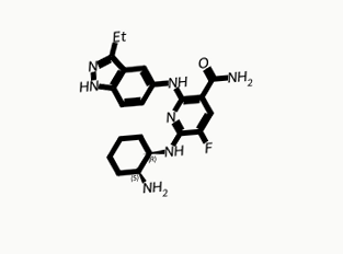 CCc1n[nH]c2ccc(Nc3nc(N[C@@H]4CCCC[C@@H]4N)c(F)cc3C(N)=O)cc12